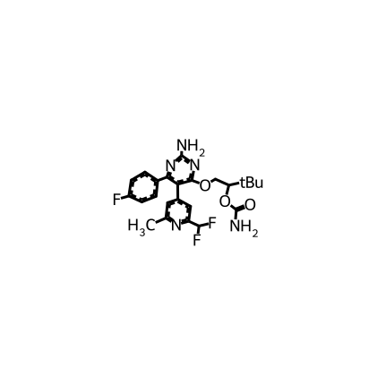 Cc1cc(-c2c(OCC(OC(N)=O)C(C)(C)C)nc(N)nc2-c2ccc(F)cc2)cc(C(F)F)n1